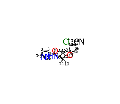 Cc1ccc(C(=O)N[C@H]2C(C)(C)[C@H](Oc3ccc(C#N)c(Cl)c3)C2(C)C)nn1